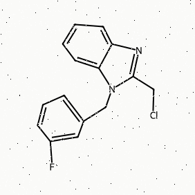 Fc1cccc(Cn2c(CCl)nc3ccccc32)c1